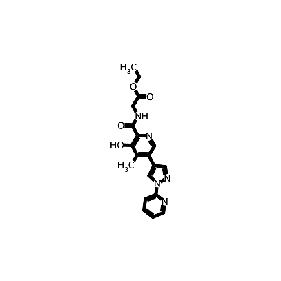 CCOC(=O)CNC(=O)c1ncc(-c2cnn(-c3ccccn3)c2)c(C)c1O